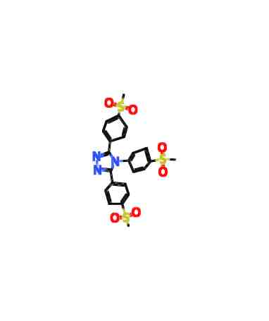 CS(=O)(=O)c1ccc(-c2nnc(-c3ccc(S(C)(=O)=O)cc3)n2-c2ccc(S(C)(=O)=O)cc2)cc1